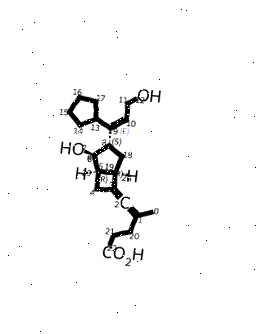 CC(=C=C1C[C@H]2[C@@H](O)[C@H](/C(=C/CO)C3CCCC3)C[C@@H]12)CCC(=O)O